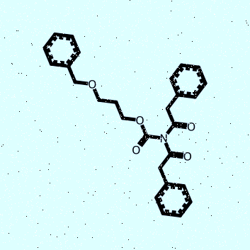 O=C(Cc1ccccc1)N(C(=O)Cc1ccccc1)C(=O)OCCCOCc1ccccc1